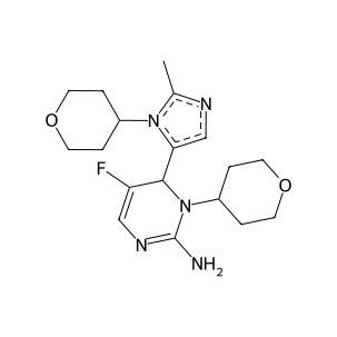 Cc1ncc(C2C(F)=CN=C(N)N2C2CCOCC2)n1C1CCOCC1